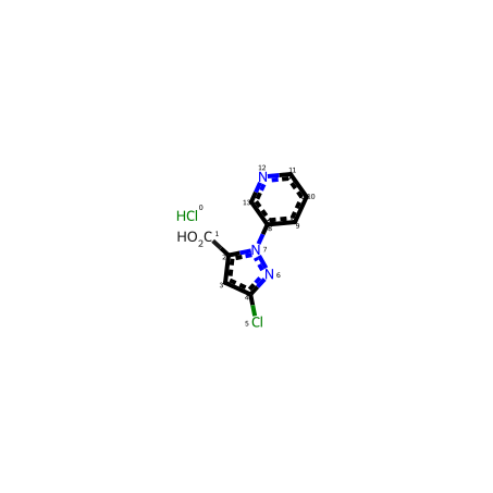 Cl.O=C(O)c1cc(Cl)nn1-c1cccnc1